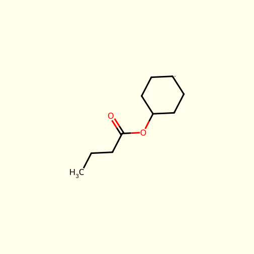 CCCC(=O)OC1CC[CH]CC1